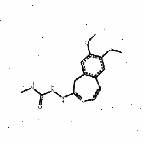 CNC(=O)NNC1=NC=Cc2cc(OC)c(OC)cc2C1